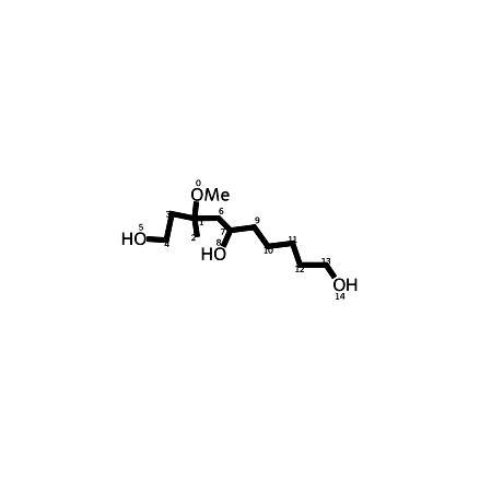 COC(C)(CCO)CC(O)CCCCCO